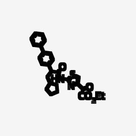 CCOC(=O)C(=O)c1csc(NC(=O)C(CC2CCCC2)c2ccc(-c3ccccc3)cc2)n1